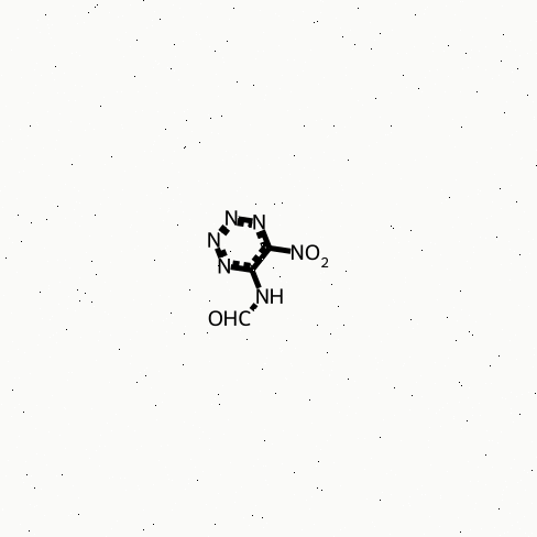 O=CNc1nnnnc1[N+](=O)[O-]